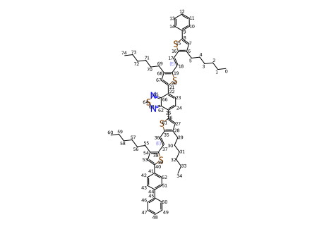 CCCCCCc1cc(-c2ccccc2)sc1/C=C/c1sc(-c2ccc(-c3cc(CCCCCC)c(/C=C/c4sc(-c5ccc(-c6ccccc6)cc5)cc4CCCCCC)s3)c3nsnc23)cc1CCCCCC